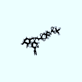 Cc1ccc(CN(CCC2OCC3(CO2)CN(C(=O)OC(C)(C)C)C3)c2ccc(C#N)nc2)cc1F